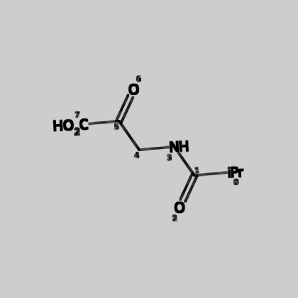 CC(C)C(=O)NCC(=O)C(=O)O